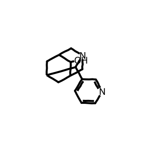 OC1C2CC3CC1CN(C2)C3c1cccnc1